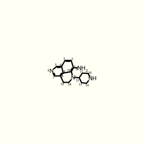 Nc1ccc2cncc3c2c1N(C1CCNCC1)CC3